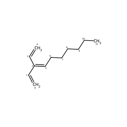 C=CC(C=C)=CCCCCCC